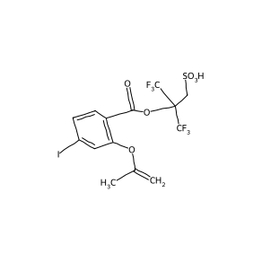 C=C(C)Oc1cc(I)ccc1C(=O)OC(CS(=O)(=O)O)(C(F)(F)F)C(F)(F)F